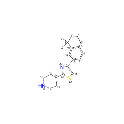 CC1(C)CCCc2ccc(-c3csc(C4CCNCC4)n3)cc21